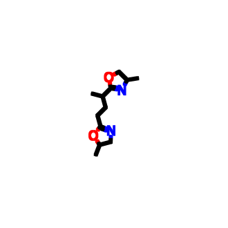 CC1COC(C(C)CCC2=NCC(C)O2)=N1